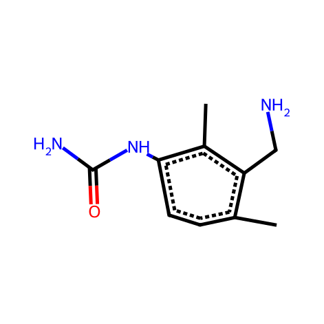 Cc1ccc(NC(N)=O)c(C)c1CN